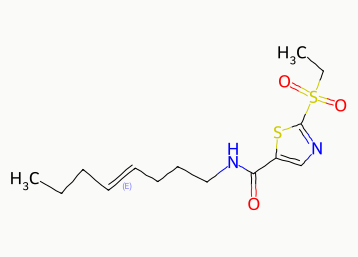 CCC/C=C/CCCNC(=O)c1cnc(S(=O)(=O)CC)s1